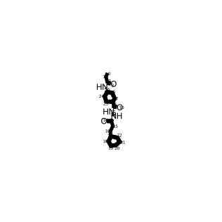 CCC(=O)Nc1ccc(C(=O)NNC(=O)CCc2ccccc2)cc1